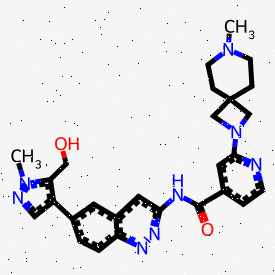 CN1CCC2(CC1)CN(c1cc(C(=O)Nc3cc4cc(-c5cnn(C)c5CO)ccc4nn3)ccn1)C2